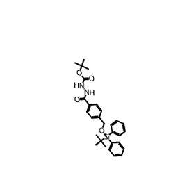 CC(C)(C)OC(=O)NNC(=O)c1ccc(CO[Si](c2ccccc2)(c2ccccc2)C(C)(C)C)cc1